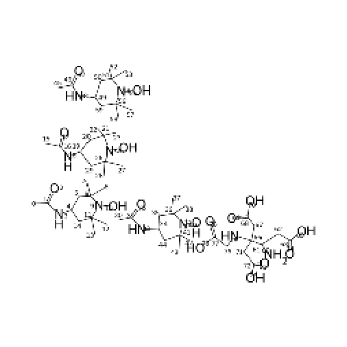 CC(=O)NC1CC(C)(C)N(O)C(C)(C)C1.CC(=O)NC1CC(C)(C)N(O)C(C)(C)C1.CC(=O)NC1CC(C)(C)N(O)C(C)(C)C1.CC(=O)NC1CC(C)(C)N(O)C(C)(C)C1.NC(CC(=O)O)C(CC(=O)O)(CC(=O)O)NCC(=O)O